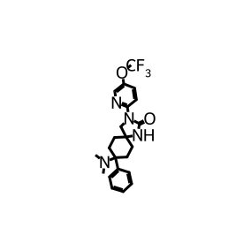 CN(C)C1(c2ccccc2)CCC2(CC1)CN(c1ccc(OC(F)(F)F)cn1)C(=O)N2